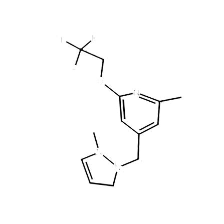 Cc1cc(CN2CC=CN2C)cc(OCC(F)(F)F)n1